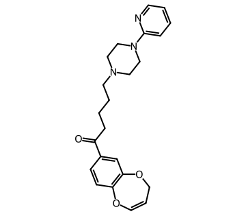 O=C(CCCCN1CCN(c2ccccn2)CC1)c1ccc2c(c1)OCC=CO2